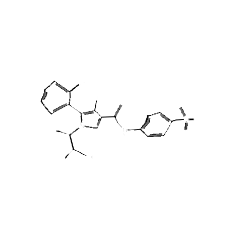 C[C@H](O)[C@@H](C)n1cc(C(=O)Nc2ccc(S(C)(=O)=O)cc2)c(I)c1-c1ccccc1C(F)(F)F